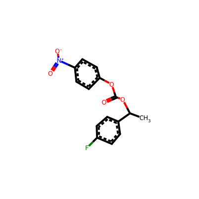 CC(OC(=O)Oc1ccc([N+](=O)[O-])cc1)c1ccc(F)cc1